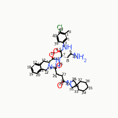 Cc1cc(NC(=O)[C@H](CCN)NC(=O)[C@@H]2Cc3ccccc3CN2C(=O)CCC(=O)N2CC3(CCCCC3)C2)ccc1Cl